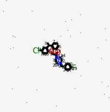 CC(c1ccccc1)c1cc(Cl)ccc1OCC(=O)N1C[C@@H](C)N(Cc2ccc(F)cc2)C[C@@H]1C